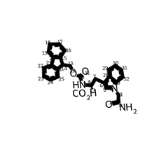 NC(=O)Cn1cc(C[C@H](NC(=O)OCC2c3ccccc3-c3ccccc32)C(=O)O)c2ccccc21